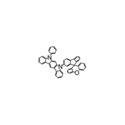 c1ccc(-n2c3ccccc3c3cc4c5ccccc5n(-c5ccc6c(c5)C5(c7ccccc7Oc7ccccc75)c5ccccc5-6)c4cc32)cc1